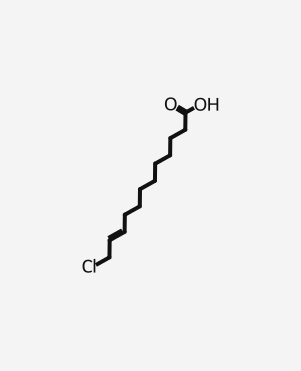 O=C(O)CCCCCCCC/C=C/CCl